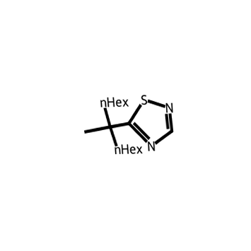 CCCCCCC(C)(CCCCCC)c1ncns1